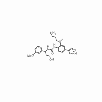 COc1cccc(C(CCO)NC(=O)Nc2ccc(-c3cn[nH]c3)cc2N(C)CCCN)c1